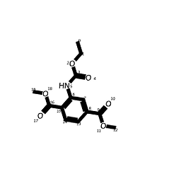 CCOC(=O)Nc1cc(C(=O)OC)ccc1C(=O)OC